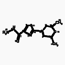 CC1CN(c2nc(C(=O)NN)cs2)CC(C)O1